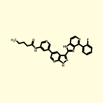 CCCCC(=O)Nc1cncc(-c2cnc3[nH]nc(-c4nc5c(-c6ccccc6F)nccc5[nH]4)c3c2)c1